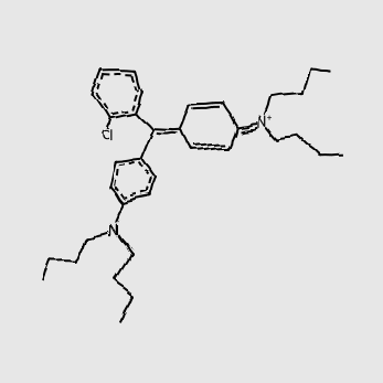 CCCCN(CCCC)c1ccc(C(=C2C=CC(=[N+](CCCC)CCCC)C=C2)c2ccccc2Cl)cc1